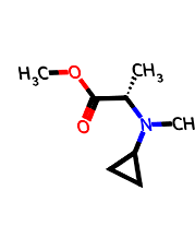 COC(=O)[C@H](C)N(C)C1CC1